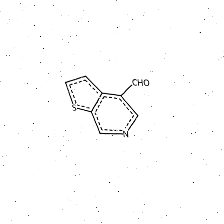 O=Cc1cncc2sccc12